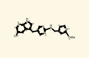 COc1cc(CNc2ncc(Cc3c[nH]c4ncc(Cl)cc34)cn2)ccn1